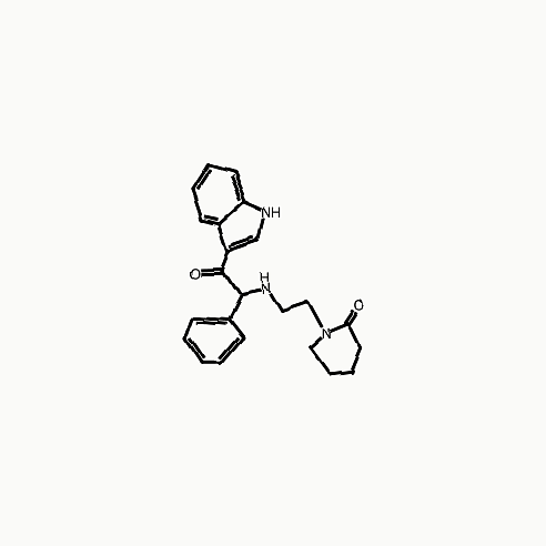 O=C(c1c[nH]c2ccccc12)C(NCCN1CCCCC1=O)c1ccccc1